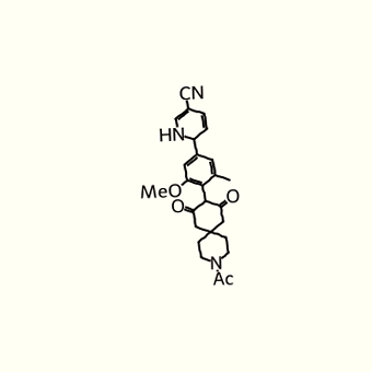 COc1cc(C2C=CC(C#N)=CN2)cc(C)c1C1C(=O)CC2(CCN(C(C)=O)CC2)CC1=O